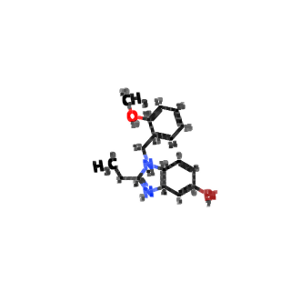 CCc1nc2cc(Br)ccc2n1Cc1ccccc1OC